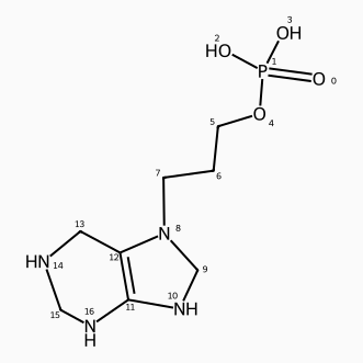 O=P(O)(O)OCCCN1CNC2=C1CNCN2